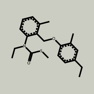 CCc1ccc(OCc2c(C)cccc2N(CC)C(=O)SC)c(C)c1